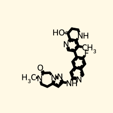 Cc1c(-c2cc3cc(Nc4cc5n(n4)CC(=O)N(C)CC5)ncc3cc2F)cnc2c1NCC[C@H]2O